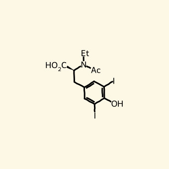 CCN(C(C)=O)[C@@H](Cc1cc(I)c(O)c(I)c1)C(=O)O